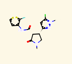 CN1C[C@H](c2cc(Cl)n(C)n2)[C@@H](C(=O)Nc2ccsc2F)C1=O